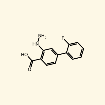 NNc1cc(-c2ccccc2F)ccc1C(=O)O